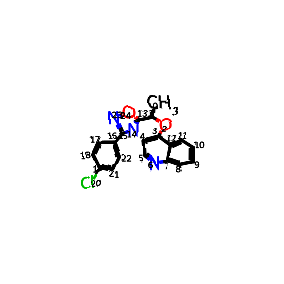 CC(Oc1ccnc2ccccc12)c1nc(-c2ccc(Cl)cc2)no1